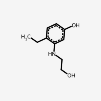 CCc1ccc(O)cc1NCCO